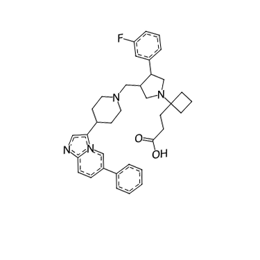 O=C(O)CCC1(N2CC(CN3CCC(c4cnc5ccc(-c6ccccc6)cn45)CC3)C(c3cccc(F)c3)C2)CCC1